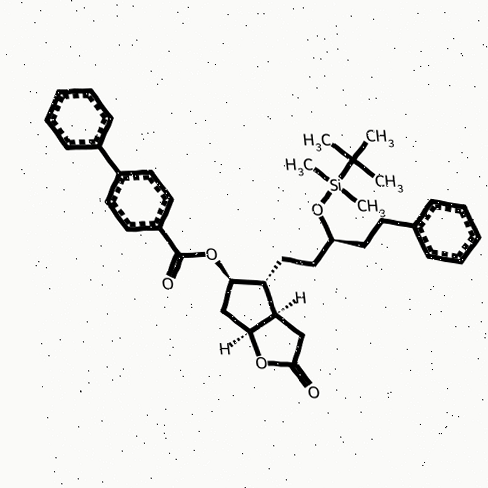 CC(C)(C)[Si](C)(C)O[C@@H](CCc1ccccc1)CC[C@@H]1[C@H]2CC(=O)O[C@H]2C[C@H]1OC(=O)c1ccc(-c2ccccc2)cc1